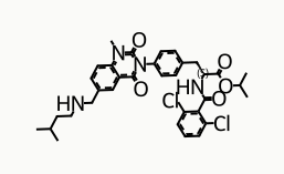 CC(C)CCNCc1ccc2c(c1)c(=O)n(-c1ccc(C[C@H](NC(=O)c3c(Cl)cccc3Cl)C(=O)OC(C)C)cc1)c(=O)n2C